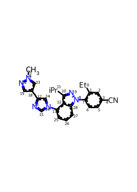 CCc1cc(C#N)ccc1-n1nc(C(C)C)c2c(-n3cnc(-c4cnn(C)c4)c3)cccc21